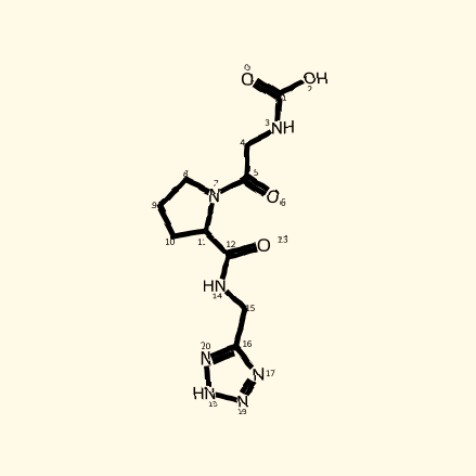 O=C(O)NCC(=O)N1CCCC1C(=O)NCc1nn[nH]n1